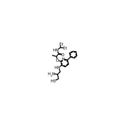 CCC(CC)NC(=O)C(C)Oc1nc(-c2ccccc2)ccc1NCC(N)CS